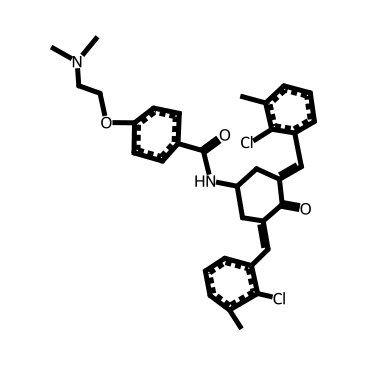 Cc1cccc(/C=C2\CC(NC(=O)c3ccc(OCCN(C)C)cc3)C/C(=C\c3cccc(C)c3Cl)C2=O)c1Cl